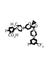 C[C@H]1CN([C@@H]2CC[C@@](C(=O)N3CCN(c4cc(F)cc(C(F)(F)F)c4)CC3)(C3CC3)OC2)CCN1c1ccc(F)c(C(=O)O)c1